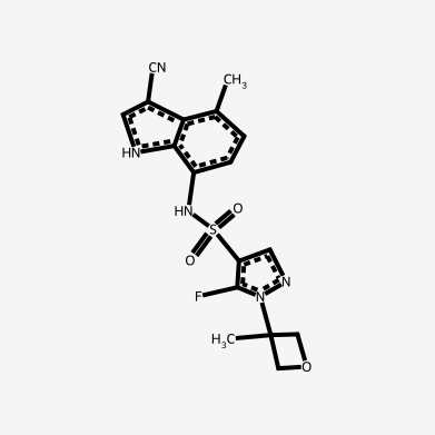 Cc1ccc(NS(=O)(=O)c2cnn(C3(C)COC3)c2F)c2[nH]cc(C#N)c12